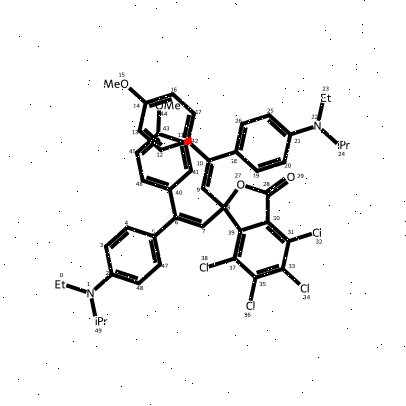 CCN(c1ccc(C(=CC2(C=C(c3ccc(OC)cc3)c3ccc(N(CC)C(C)C)cc3)OC(=O)c3c(Cl)c(Cl)c(Cl)c(Cl)c32)c2ccc(OC)cc2)cc1)C(C)C